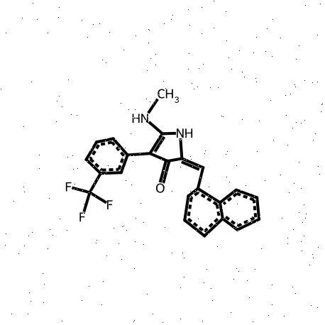 CNC1=C(c2cccc(C(F)(F)F)c2)C(=O)C(=Cc2cccc3ccccc23)N1